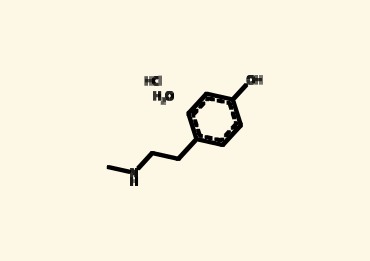 CNCCc1ccc(O)cc1.Cl.O